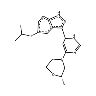 CC(C)Oc1ccc2[nH]nc(C3C=C(N4CCO[C@@H](C)C4)N=CN3)c2c1